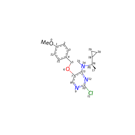 COc1ccc(COc2cnc(Cl)nc2N(C)[C@H](C)C2CC2)cc1